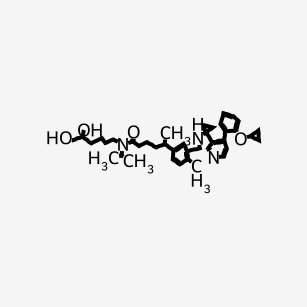 Cc1ccc(C(C)CCCC(=O)N(CCCCC(O)CO)C(C)C)cc1CNC1(c2cnccc2-c2ccccc2OC2CC2)CC1